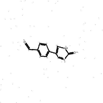 O=Cc1ccc(-c2cnc(=O)[nH]c2)cc1